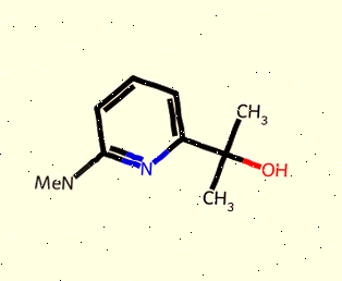 CNc1cccc(C(C)(C)O)n1